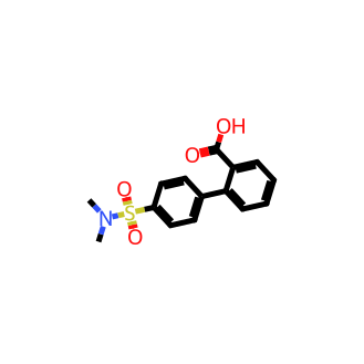 CN(C)S(=O)(=O)c1ccc(-c2ccccc2C(=O)O)cc1